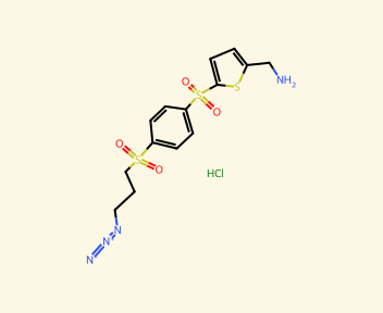 Cl.[N-]=[N+]=NCCCS(=O)(=O)c1ccc(S(=O)(=O)c2ccc(CN)s2)cc1